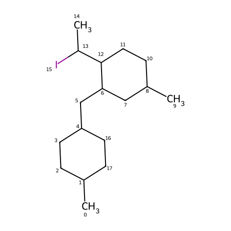 CC1CCC(CC2CC(C)CCC2C(C)I)CC1